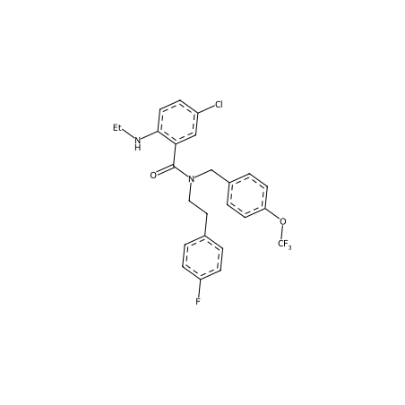 CCNc1ccc(Cl)cc1C(=O)N(CCc1ccc(F)cc1)Cc1ccc(OC(F)(F)F)cc1